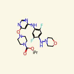 CC(C)OC(=O)N1CCN(Oc2cc(Nc3cc(F)c(NN4CCOCC4)cc3F)ncn2)CC1